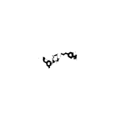 Cc1cc(CC(=O)O)cc(S(=O)(=O)N2C(C)CN(CCCc3ccc(C(F)(F)F)c(F)c3)C[C@@H]2C)c1